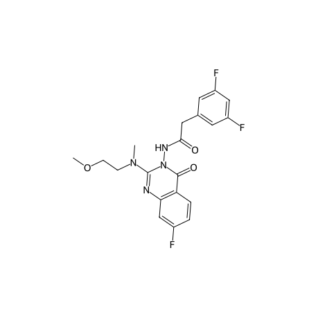 COCCN(C)c1nc2cc(F)ccc2c(=O)n1NC(=O)Cc1cc(F)cc(F)c1